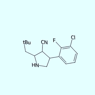 CC(C)(C)CC1NCC(c2cccc(Cl)c2F)C1C#N